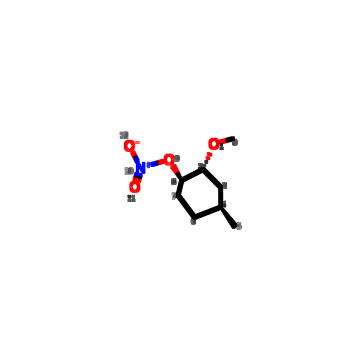 CO[C@@H]1C[C@@H](C)CC[C@H]1O[N+](=O)[O-]